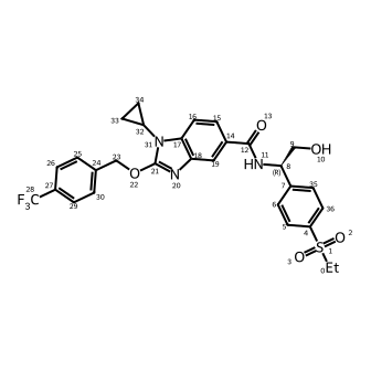 CCS(=O)(=O)c1ccc([C@H](CO)NC(=O)c2ccc3c(c2)nc(OCc2ccc(C(F)(F)F)cc2)n3C2CC2)cc1